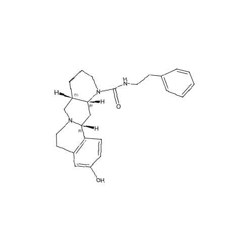 O=C(NCCc1ccccc1)N1CCC[C@H]2CN3CCc4cc(O)ccc4[C@H]3C[C@H]21